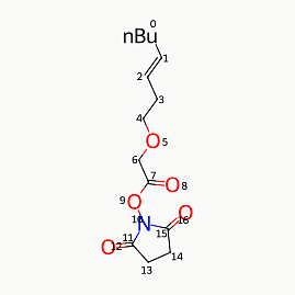 CCCC/C=C/CCOCC(=O)ON1C(=O)CCC1=O